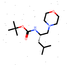 CC(C)C[C@@H](CN1CCOCC1)NC(=O)OC(C)(C)C